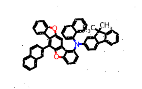 CC1(C)c2ccccc2-c2ccc(N(c3cccc4ccccc34)c3cccc4oc5c(-c6ccc7ccccc7c6)c6c(cc5c34)oc3ccccc36)cc21